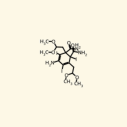 COC(CC1=C(I)C(N)=C(I)C(CC(OC)OC)(C(N)=O)C1(I)C(N)=O)OC